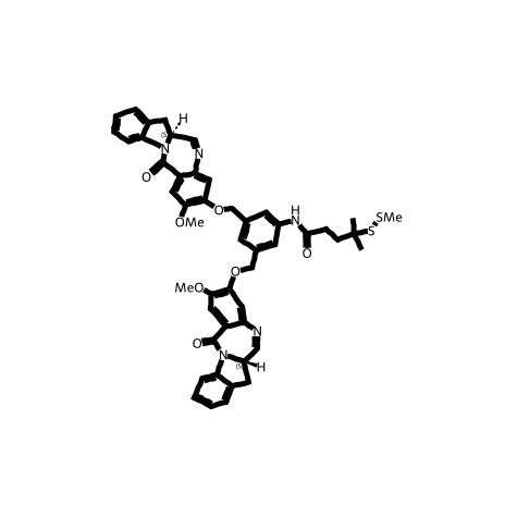 COc1cc2c(cc1OCc1cc(COc3cc4c(cc3OC)C(=O)N3c5ccccc5C[C@H]3C=N4)cc(NC(=O)CCC(C)(C)SSC)c1)N=C[C@@H]1Cc3ccccc3N1C2=O